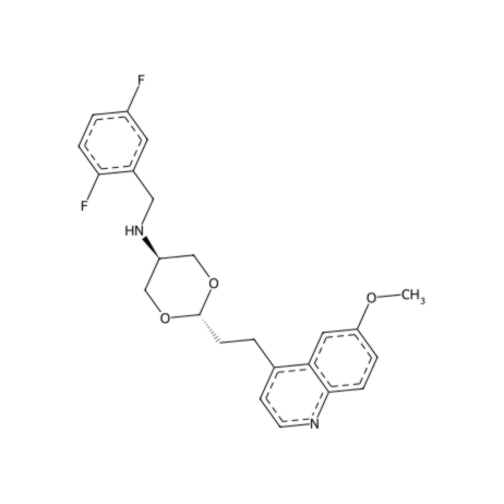 COc1ccc2nccc(CC[C@H]3OC[C@H](NCc4cc(F)ccc4F)CO3)c2c1